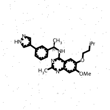 COc1cc2nc(C)nc(N[C@H](C)c3cccc(-c4cn[nH]c4)c3)c2cc1OCCC(C)C